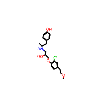 COCCc1ccc(OCC(O)CNC(C)Cc2ccc(O)cc2)c(Cl)c1